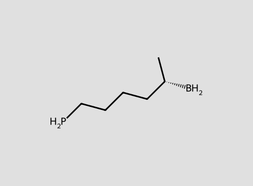 B[C@@H](C)CCCCP